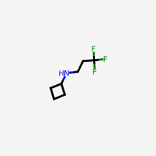 FC(F)(F)CCNC1CCC1